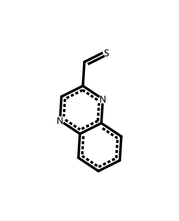 S=Cc1cnc2ccccc2n1